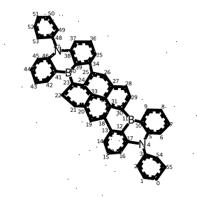 c1ccc(N2c3ccccc3B3c4c(cccc42)-c2cc4ccc5c6c(cc7ccc3c2c7c46)-c2cccc3c2B5c2ccccc2N3c2ccccc2)cc1